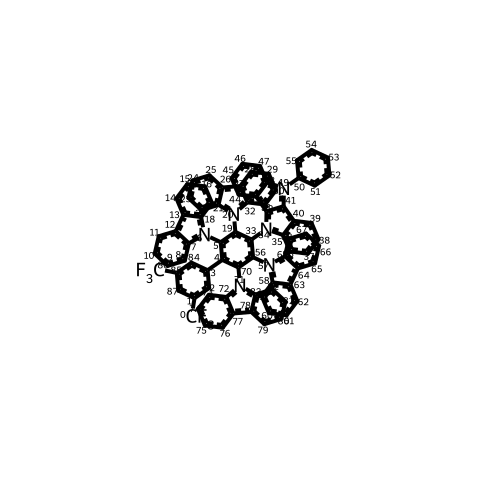 FC(F)(F)c1cc(-c2c(-n3c4ccccc4c4ccccc43)c(-n3c4ccccc4c4ccccc43)c(-n3c4ccccc4c4c3c3ccccc3n4-c3ccccc3)c(-n3c4ccccc4c4ccccc43)c2-n2c3ccccc3c3ccccc32)cc(C(F)(F)F)c1